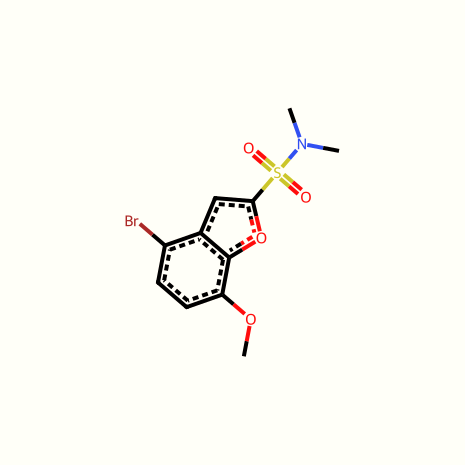 COc1ccc(Br)c2cc(S(=O)(=O)N(C)C)oc12